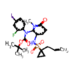 C=CCC1(S(=O)(=O)Nc2ccc(=O)n(C)c2N(C(=O)OC(C)(C)C)c2ccc(I)cc2F)CC1